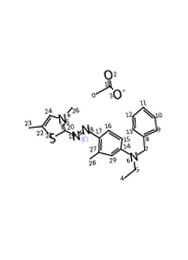 CC(=O)[O-].CCN(Cc1ccccc1)c1ccc(/N=N/c2sc(C)c[n+]2C)c(C)c1